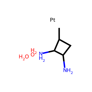 CC1CC(N)C1N.O.O.[Pt]